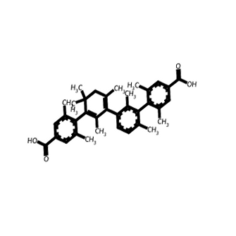 CC1=C(c2ccc(C)c(-c3c(C)cc(C(=O)O)cc3C)c2C)C(C)=C(c2c(C)cc(C(=O)O)cc2C)C(C)(C)C1